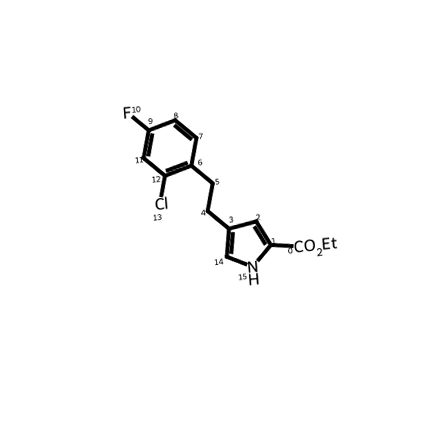 CCOC(=O)c1cc(CCc2ccc(F)cc2Cl)c[nH]1